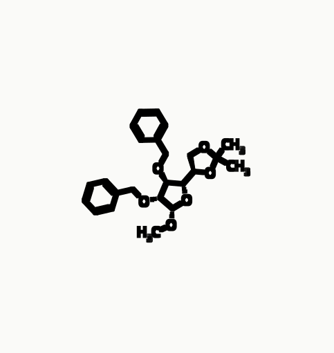 CO[C@H]1O[C@@H]([C@H]2COC(C)(C)O2)[C@H](OCc2ccccc2)[C@H]1OCc1ccccc1